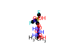 CC(C)[C@@H](NCCNC(=O)CNC(=O)COc1ccc([C@@H]2[C@@H](SCC(O)c3ccc(F)cc3)C(=O)N2c2ccc(F)cc2)cc1)C(=O)O